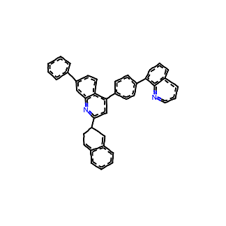 C1=c2ccccc2=CC(c2cc(-c3ccc(-c4cccc5cccnc45)cc3)c3ccc(-c4ccccc4)cc3n2)C1